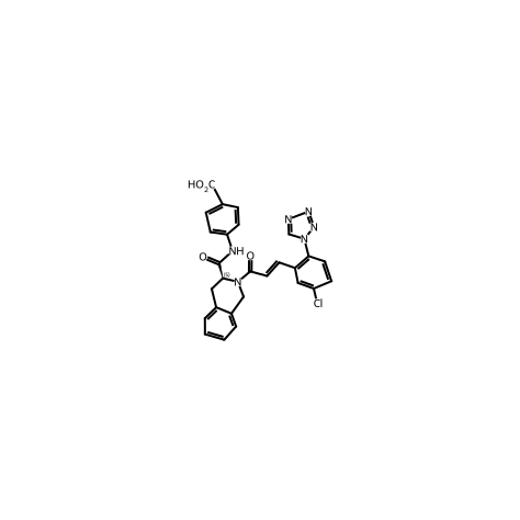 O=C(O)c1ccc(NC(=O)[C@@H]2Cc3ccccc3CN2C(=O)C=Cc2cc(Cl)ccc2-n2cnnn2)cc1